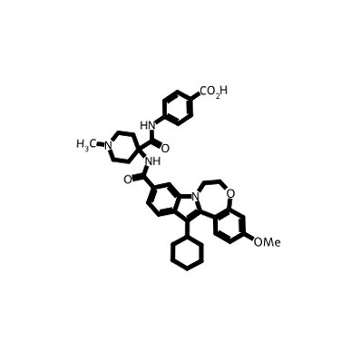 COc1ccc2c(c1)OCCn1c-2c(C2CCCCC2)c2ccc(C(=O)NC3(C(=O)Nc4ccc(C(=O)O)cc4)CCN(C)CC3)cc21